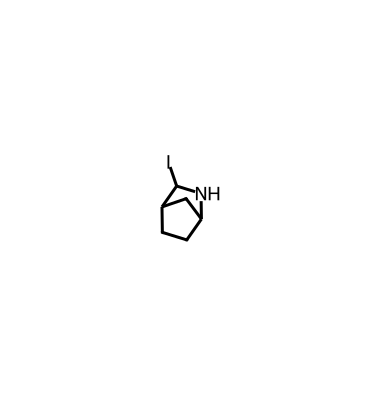 IC1NC2CCC1C2